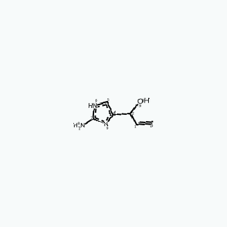 C=CC(O)c1c[nH]c(N)n1